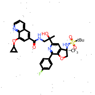 CC(O)(CNC(=O)c1cc(OC2CC2)c2ncccc2c1)c1cc2c(c(-c3ccc(F)cc3)n1)OC[C@@]2(NS(=O)(=O)C(C)(C)C)C(F)(F)F